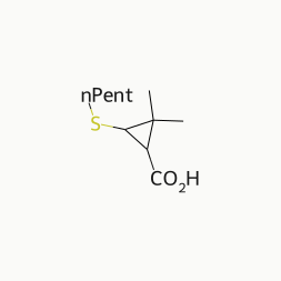 CCCCCSC1C(C(=O)O)C1(C)C